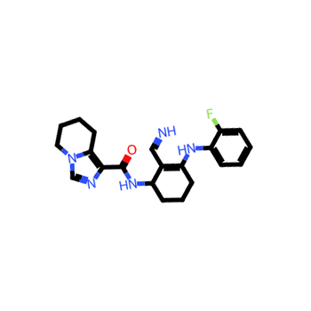 N=CC1=C(Nc2ccccc2F)CCCC1NC(=O)c1ncn2c1CCCC2